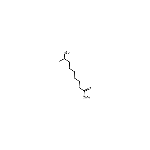 CCC[CH][C@H](C)CCCCCCC(=O)OC